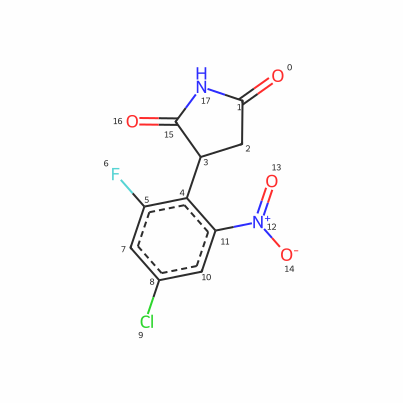 O=C1CC(c2c(F)cc(Cl)cc2[N+](=O)[O-])C(=O)N1